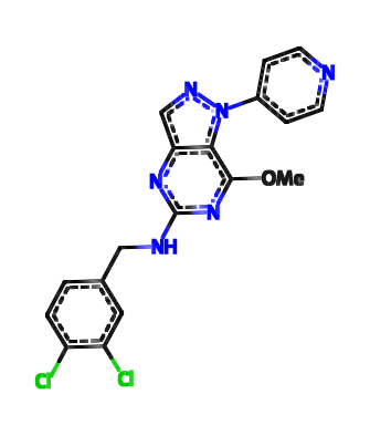 COc1nc(NCc2ccc(Cl)c(Cl)c2)nc2cnn(-c3ccncc3)c12